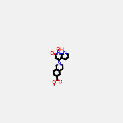 COC(=O)c1ccc2c(c1)CCN(c1cc(=O)n(O)c3ncccc13)C2